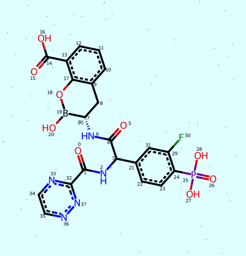 O=C(NC(C(=O)N[C@H]1Cc2cccc(C(=O)O)c2OB1O)c1ccc(P(=O)(O)O)c(F)c1)c1nccnn1